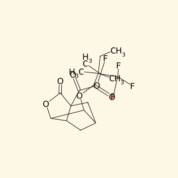 CCC(C)(C)C(=O)OC1C2CC3C1OC(=O)C3(C(=O)OC(C)(F)C(F)(F)F)C2